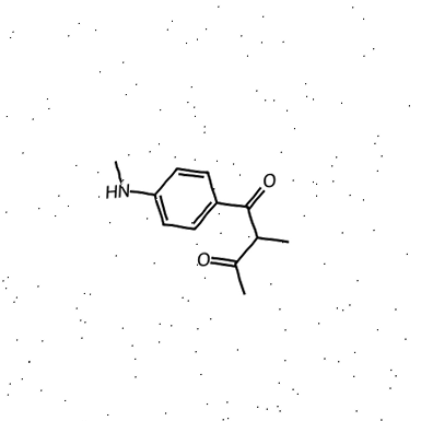 CNc1ccc(C(=O)C(C)C(C)=O)cc1